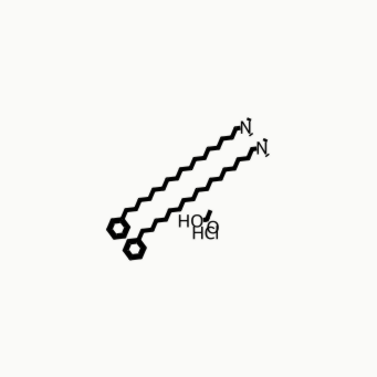 CC(=O)O.CN(C)CCCCCCCCCCCCCCCCCc1ccccc1.CN(C)CCCCCCCCCCCCCCCCCc1ccccc1.Cl